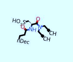 C#CCN(CC#C)C(=O)[C@@H](CS(=O)(=O)O)NC(=O)CCCCCCCCCCCC